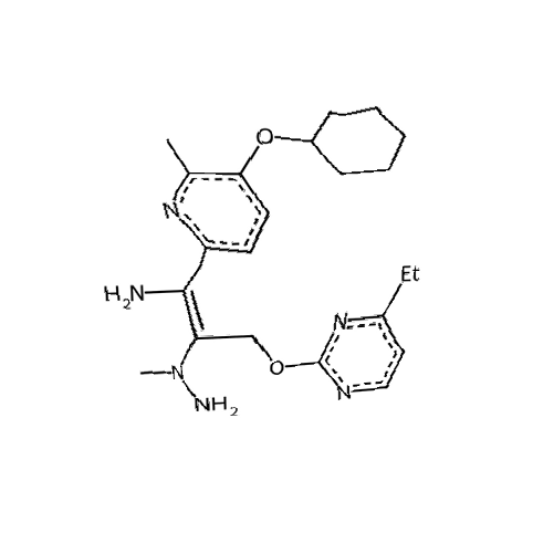 CCc1ccnc(OC/C(=C(/N)c2ccc(OC3CCCCC3)c(C)n2)N(C)N)n1